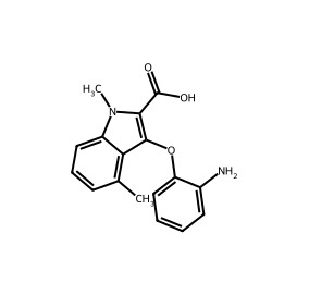 Cc1cccc2c1c(Oc1ccccc1N)c(C(=O)O)n2C